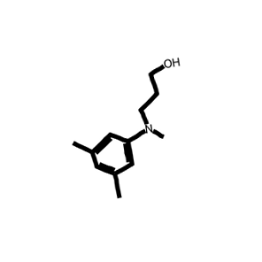 Cc1cc(C)cc(N(C)CCCO)c1